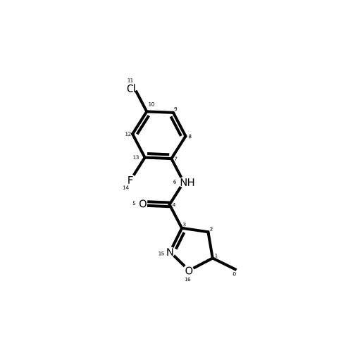 CC1CC(C(=O)Nc2ccc(Cl)cc2F)=NO1